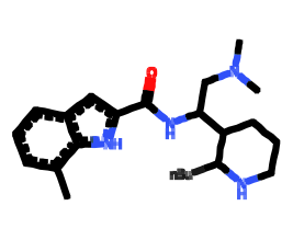 CCCCC1NCCCC1C(CN(C)C)NC(=O)c1cc2cccc(C)c2[nH]1